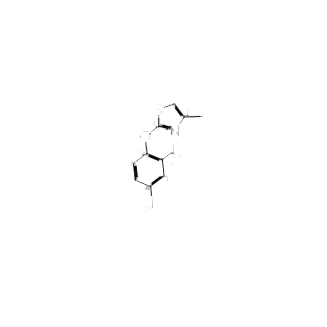 Cc1csc(Oc2ccc(I)cc2F)n1